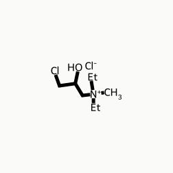 CC[N+](C)(CC)CC(O)CCl.[Cl-]